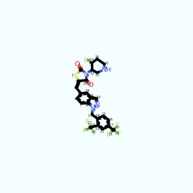 O=C1SC(=Cc2ccc3c(cnn3Cc3ccc(C(F)(F)F)cc3C(F)(F)F)c2)C(=O)N1C1CNCCC1F